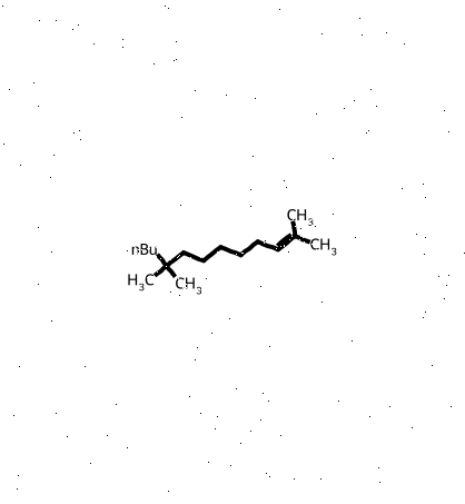 CCCCC(C)(C)CCCCCC=C(C)C